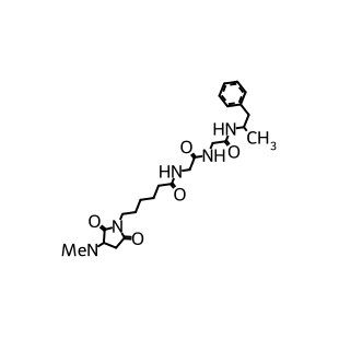 CNC1CC(=O)N(CCCCCC(=O)NCC(=O)NCC(=O)NC(C)Cc2ccccc2)C1=O